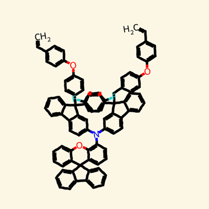 C=Cc1ccc(Oc2ccc(CC3(c4ccc(F)cc4)c4ccccc4-c4ccc(N(c5ccc6c(c5)C(C5=CCC(F)C=C5)(c5ccc(Oc7ccc(C=C)cc7)cc5)c5ccccc5-6)c5cccc6c5Oc5ccccc5C65c6ccccc6-c6ccccc65)cc43)cc2)cc1